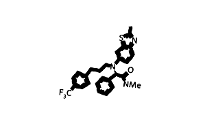 CNC(=O)[C@H](c1ccccc1)N(CCCc1ccc(C(F)(F)F)cc1)c1ccc2nc(C)sc2c1